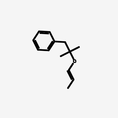 CC=COC(C)(C)Cc1ccccc1